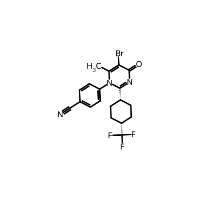 Cc1c(Br)c(=O)nc([C@H]2CC[C@@H](C(F)(F)F)CC2)n1-c1ccc(C#N)cc1